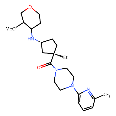 CC[C@]1(C(=O)N2CCN(c3cccc(C(F)(F)F)n3)CC2)CC[C@@H](NC2CCOCC2OC)C1